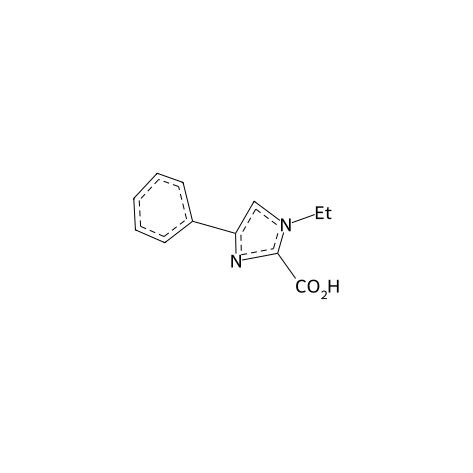 CCn1cc(-c2ccccc2)nc1C(=O)O